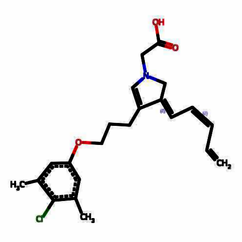 C=C/C=C\C=C1/CN(CC(=O)O)C=C1CCCOc1cc(C)c(Cl)c(C)c1